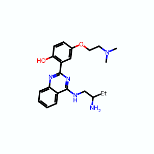 CCC(N)CNc1nc(-c2cc(OCCN(C)C)ccc2O)nc2ccccc12